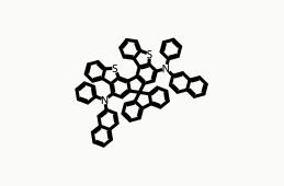 c1ccc(N(c2ccc3ccccc3c2)c2cc3c(c4c2sc2ccccc24)-c2c(cc(N(c4ccccc4)c4ccc5ccccc5c4)c4c2sc2ccccc24)C32c3ccccc3-c3ccccc32)cc1